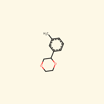 Cc1cccc(C2COCCO2)c1